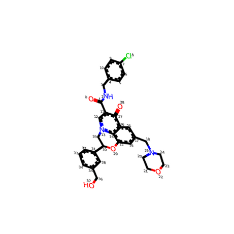 O=C(NCc1ccc(Cl)cc1)c1cn2c3c(cc(CN4CCOCC4)cc3c1=O)OC(c1cccc(CO)c1)C2